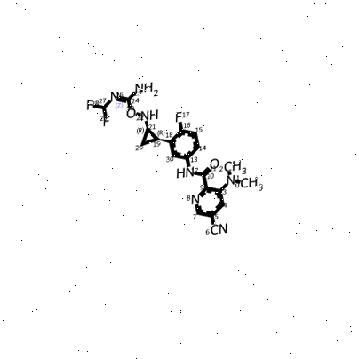 CN(C)c1cc(C#N)cnc1C(=O)Nc1ccc(F)c([C@H]2C[C@H]2NO/C(N)=N\C(F)F)c1